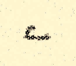 Cc1cc(-c2n[nH]c3ncc(-c4ccc(CCN5CCN(c6ccc(N7CCC(=O)NC7=O)cc6)CC5)cc4)cc23)ccc1[C@@H](C)NC(=O)c1noc(C(C)(C)C)n1